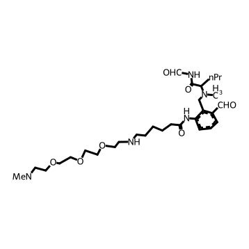 CCCC(C(=O)NC=O)N(C)Cc1c(C=O)cccc1NC(=O)CCCCCNCCOCCOCCOCCNC